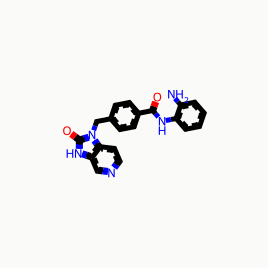 Nc1ccccc1NC(=O)c1ccc(Cn2c(=O)[nH]c3cnccc32)cc1